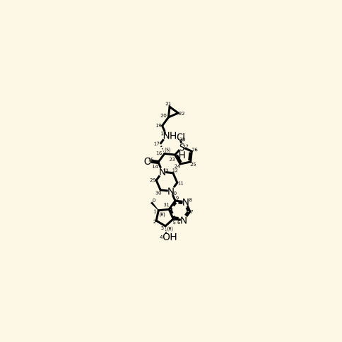 C[C@@H]1C[C@@H](O)c2ncnc(N3CCN(C(=O)[C@H](CNCC4CC4)C4=CC=C[SH]4Cl)CC3)c21